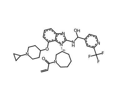 C=CC(=O)N1CCCC[C@@H](n2c(NC(O)c3ccnc(C(F)(F)F)c3)nc3cccc(OC4CCN(C5CC5)CC4)c32)C1